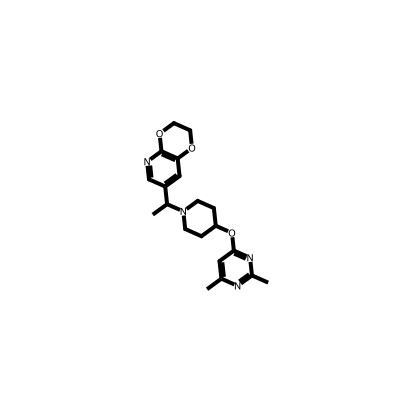 Cc1cc(OC2CCN(C(C)c3cnc4c(c3)OCCO4)CC2)nc(C)n1